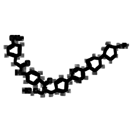 CCCC1CCC(C2CC=C(c3cnc(-c4ccc(CN(CC(=O)O)C(=O)c5ccc(NC(=O)Cc6ccc(OC)cc6)cc5)cc4)nc3)CC2)CC1